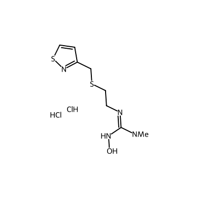 CN/C(=N/CCSCc1ccsn1)NO.Cl.Cl